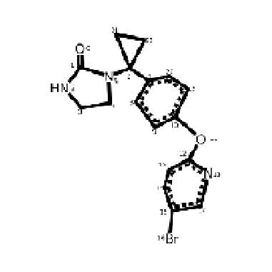 O=C1NCCN1C1(c2ccc(Oc3ccc(Br)cn3)cc2)CC1